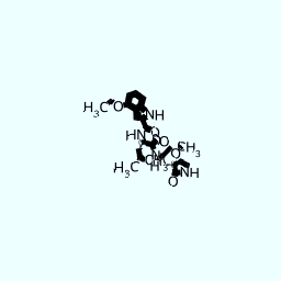 CCOc1cccc2[nH]c(C(=O)N[C@@H](CC(C)C)C(=O)N[C@@H](C[C@@H]3CCNC3=O)C(=O)OC)cc12